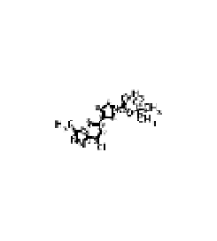 Cc1nnc2c(Cl)cc(C3=CCN(C(=O)OC(C)(C)C)C3)cn12